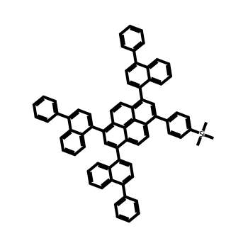 C[Si](C)(C)c1ccc(-c2cc(-c3ccc(-c4ccccc4)c4ccccc34)c3ccc4c(-c5ccc(-c6ccccc6)c6ccccc56)cc(-c5ccc(-c6ccccc6)c6ccccc56)c5ccc2c3c54)cc1